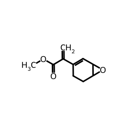 C=C(C(=O)OC)C1=CC2OC2CC1